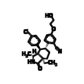 CC[C@@]12CC[C@@H](c3ccc(OCCO)cc3C#N)[C@H](c3ccc(Cl)cc3)[C@@H]1[C@@H](C)NC2=O